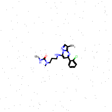 Bc1cnn2c(NCCCN(C)C(=O)NC(C)(C)C)cc(-c3ccccc3Cl)nc12